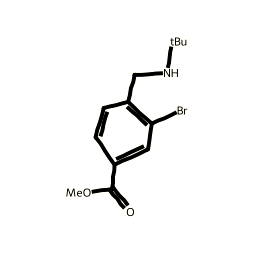 COC(=O)c1ccc(CNC(C)(C)C)c(Br)c1